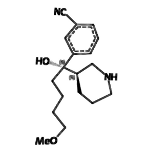 COCCCC[C@@](O)(c1cccc(C#N)c1)[C@@H]1CCCNC1